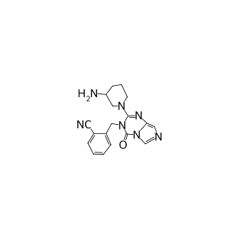 N#Cc1ccccc1Cn1c(N2CCCC(N)C2)nc2cncn2c1=O